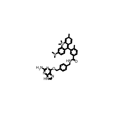 Cc1ccc(C(=O)NCc2ccc(COc3nc(N)nc4[nH]cnc34)cc2)cc1C1=C2C=CC(C)C=C2[Si](C)(C)c2cc(N(C)C)ccc21